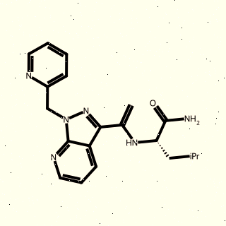 C=C(N[C@@H](CC(C)C)C(N)=O)c1nn(Cc2ccccn2)c2ncccc12